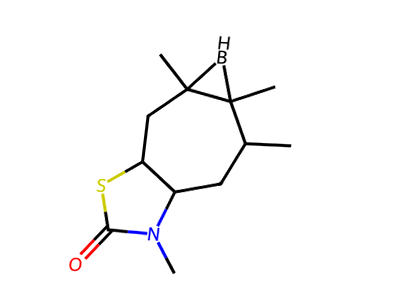 CC1CC2C(CC3(C)BC13C)SC(=O)N2C